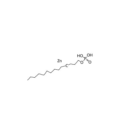 CCCCCCCCCCCCCCOP(=O)(O)O.[Zn]